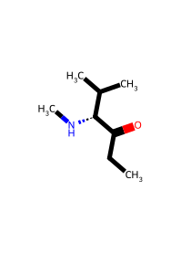 CCC(=O)[C@H](NC)C(C)C